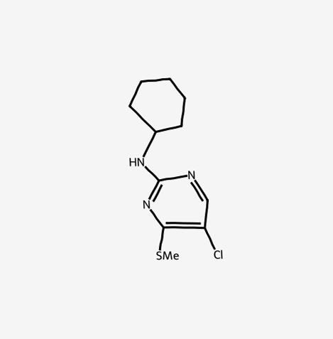 CSc1nc(NC2CCCCC2)ncc1Cl